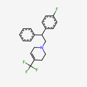 Fc1ccc(C(CN2CC=C(C(F)(F)F)CC2)c2ccccc2)cc1